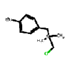 CC(C)(C)c1ccc(C[Si](C)(C)CCl)cc1